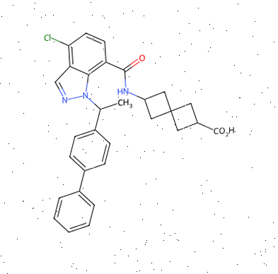 CC(c1ccc(-c2ccccc2)cc1)n1ncc2c(Cl)ccc(C(=O)NC3CC4(C3)CC(C(=O)O)C4)c21